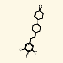 O=C1CCC([C@H]2CC[C@H](CCc3cc(F)c(F)c(F)c3)CC2)CC1